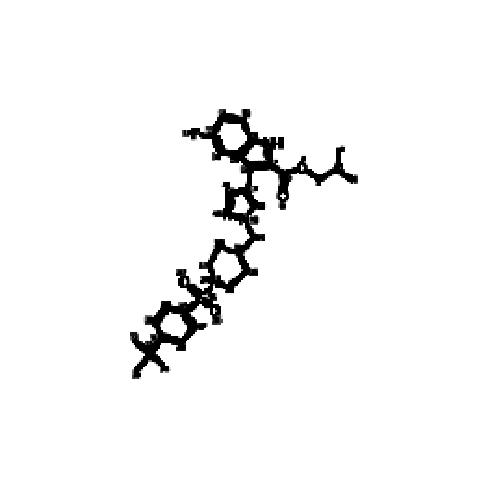 CC(C)COC(=O)c1[nH]c2ccc(F)cc2c1-c1cn(CC2CCN(S(=O)(=O)c3ccc(C(C)(C)C)cc3)CC2)nn1